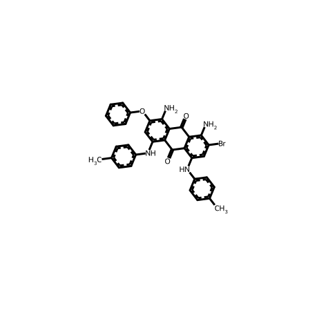 Cc1ccc(Nc2cc(Br)c(N)c3c2C(=O)c2c(Nc4ccc(C)cc4)cc(Oc4ccccc4)c(N)c2C3=O)cc1